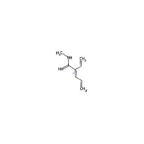 C=C/C=C(\C=C)C(=N)NC